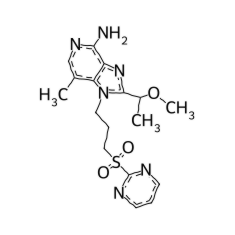 COC(C)c1nc2c(N)ncc(C)c2n1CCCS(=O)(=O)c1ncccn1